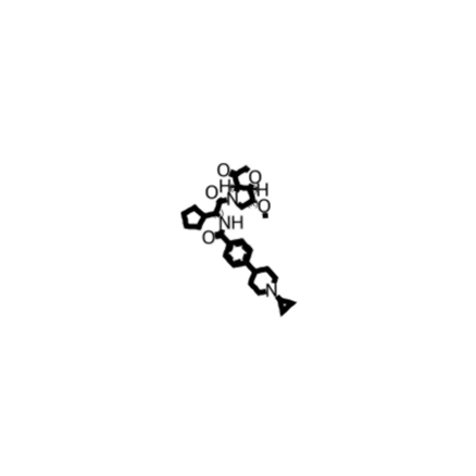 CO[C@@H]1CN(C(=O)[C@@H](NC(=O)c2ccc(C3CCN(C4CC4)CC3)cc2)C2CCCC2)[C@@H]2C(=O)CO[C@@H]21